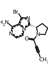 CC#CC(=O)N1CCC[C@H]1c1nc(Br)c2c(N)nccn12